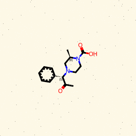 CC(=O)[C@H](c1ccccc1)N1CCN(C(=O)O)[C@H](C)C1